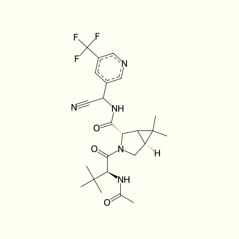 CC(=O)N[C@H](C(=O)N1C[C@H]2C([C@H]1C(=O)NC(C#N)c1cncc(C(F)(F)F)c1)C2(C)C)C(C)(C)C